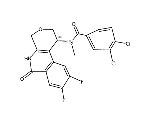 CN(C(=O)c1ccc(Cl)c(Cl)c1)[C@H]1COCc2[nH]c(=O)c3cc(F)c(F)cc3c21